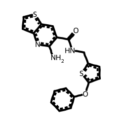 Nc1nc2ccsc2cc1C(=O)NCc1ccc(Oc2ccccc2)s1